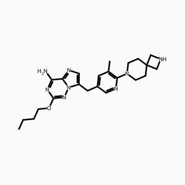 CCCCOc1nc(N)c2ncc(Cc3cnc(N4CCC5(CC4)CNC5)c(C)c3)n2n1